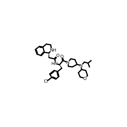 CC(C)CN(C1CCOCC1)C1CCN(C(=O)[C@@H](Cc2ccc(Cl)cc2)NC(=O)C[C@@H]2NCCc3ccccc32)CC1